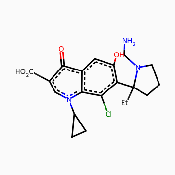 CCC1(c2c(O)cc3c(=O)c(C(=O)O)cn(C4CC4)c3c2Cl)CCCN1CN